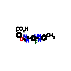 Cc1ccc2nc(-c3ccc(-c4cnc(O[C@H]5CC[C@@H](CC(=O)O)CC5)cn4)cc3F)[nH]c2c1